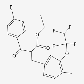 CCOC(=O)C(Cc1ccc(C)c(OC(F)(F)C(F)F)c1)C(=O)c1ccc(F)cc1